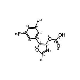 Cc1nc(OC(=O)O)c(-c2cc(F)cc(F)c2)o1